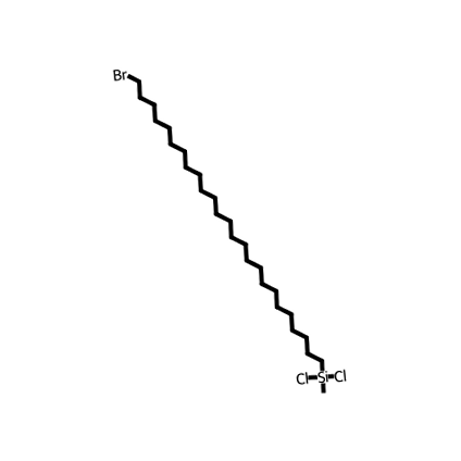 C[Si](Cl)(Cl)CCCCCCCCCCCCCCCCCCCCCCCCCBr